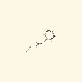 COCNCc1ccccc1